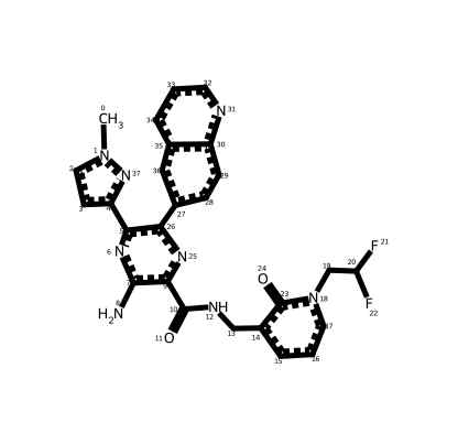 Cn1ccc(-c2nc(N)c(C(=O)NCc3cccn(CC(F)F)c3=O)nc2-c2ccc3ncccc3c2)n1